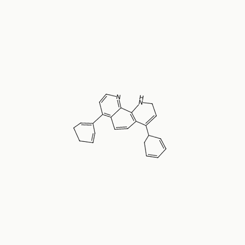 C1=CCC(C2=CCNc3c2ccc2c(C4=CCCC=C4)ccnc32)C=C1